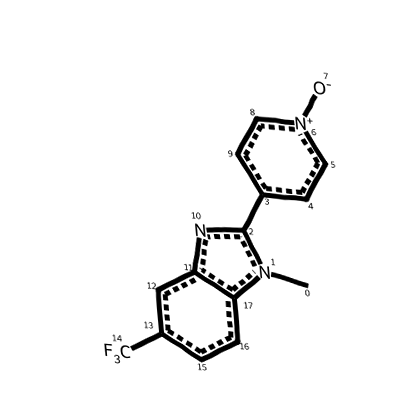 Cn1c(-c2cc[n+]([O-])cc2)nc2cc(C(F)(F)F)ccc21